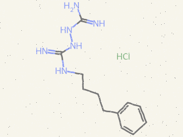 Cl.N=C(N)NNC(=N)NCCCCc1ccccc1